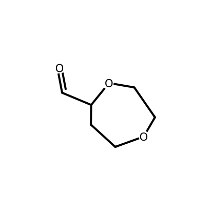 O=CC1CCOCCO1